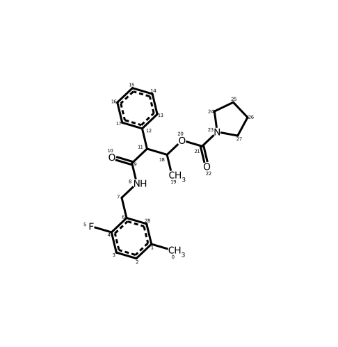 Cc1ccc(F)c(CNC(=O)C(c2ccccc2)C(C)OC(=O)N2CCCC2)c1